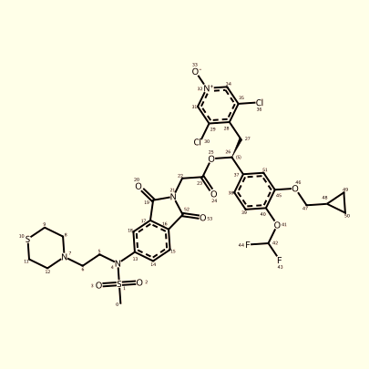 CS(=O)(=O)N(CCN1CCSCC1)c1ccc2c(c1)C(=O)N(CC(=O)O[C@@H](Cc1c(Cl)c[n+]([O-])cc1Cl)c1ccc(OC(F)F)c(OCC3CC3)c1)C2=O